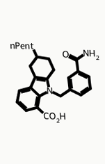 CCCCCC1CCc2c(c3cccc(C(=O)O)c3n2Cc2cccc(C(N)=O)c2)C1